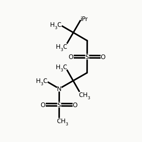 CC(C)C(C)(C)CS(=O)(=O)CC(C)(C)N(C)S(C)(=O)=O